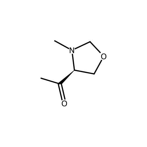 CC(=O)[C@@H]1COCN1C